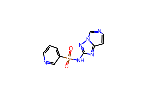 O=S(=O)(Nc1nc2ccncn2n1)c1cccnc1